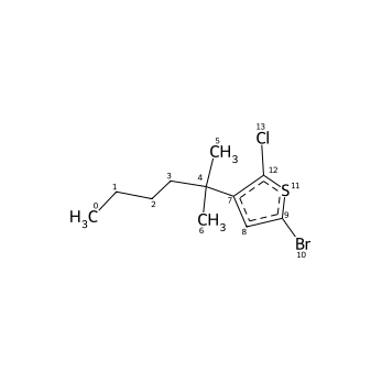 CCCCC(C)(C)c1cc(Br)sc1Cl